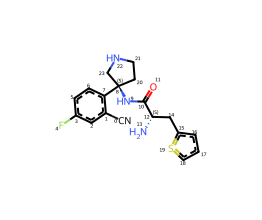 N#Cc1cc(F)ccc1[C@@]1(NC(=O)[C@@H](N)Cc2cccs2)CCNC1